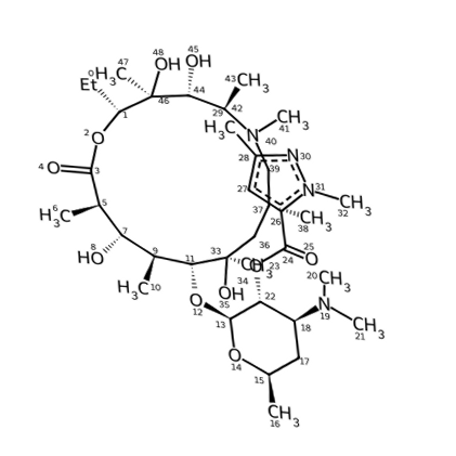 CC[C@H]1OC(=O)[C@H](C)[C@@H](O)[C@H](C)[C@@H](O[C@@H]2O[C@H](C)C[C@H](N(C)C)[C@H]2OC(=O)c2cc(C)nn2C)[C@](C)(O)C[C@@H](C)CN(C)[C@H](C)[C@@H](O)[C@]1(C)O